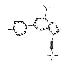 C[Si](C)(C)C#Cc1cnn2c(C(F)F)cc(-c3ccc(C(F)(F)F)cc3)nc12